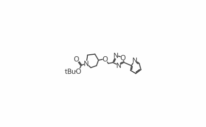 CC(C)(C)OC(=O)N1CCC(OCc2noc(-c3ccccn3)n2)CC1